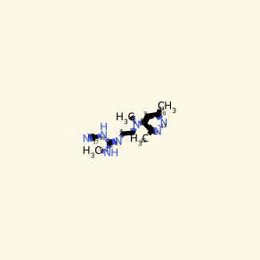 CNC(=NCCN(C)c1cc(C)nnc1C)NC#N